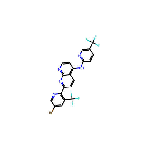 FC(F)(F)c1ccc(Nc2ccnc3nc(-c4ncc(Br)cc4C(F)(F)F)ccc23)nc1